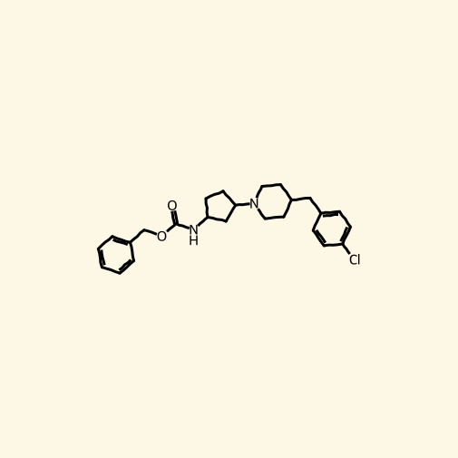 O=C(NC1CCC(N2CCC(Cc3ccc(Cl)cc3)CC2)C1)OCc1ccccc1